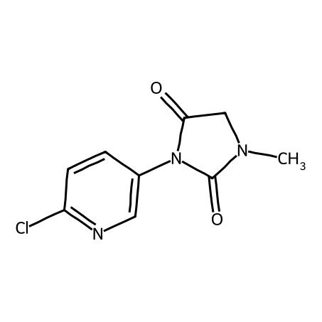 CN1CC(=O)N(c2ccc(Cl)nc2)C1=O